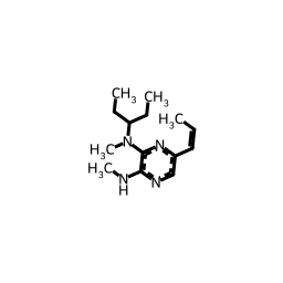 C/C=C\c1cnc(NC)c(N(C)C(CC)CC)n1